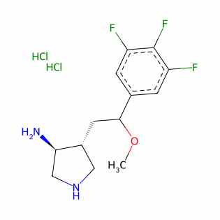 COC(C[C@@H]1CNC[C@H]1N)c1cc(F)c(F)c(F)c1.Cl.Cl